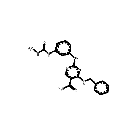 CNC(=O)Nc1cccc(Nc2ncc(C(N)=O)c(NCc3ccccc3)n2)c1